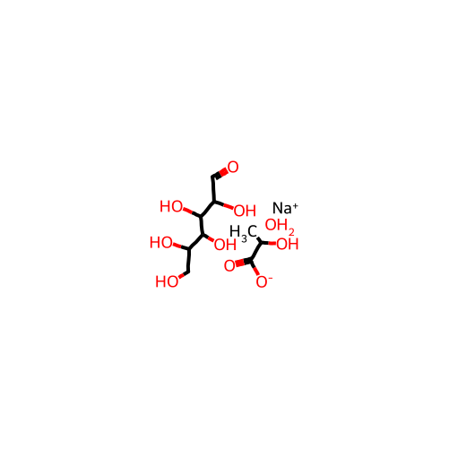 CC(O)C(=O)[O-].O.O=CC(O)C(O)C(O)C(O)CO.[Na+]